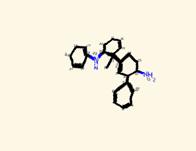 CC1(C2=CC(C3C=CC=CC3)C(N)CC2)C=CCCC1NC1=CCCC=C1